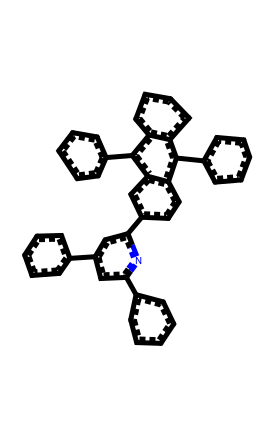 c1ccc(-c2cc(-c3ccccc3)nc(-c3ccc4c(-c5ccccc5)c5ccccc5c(-c5ccccc5)c4c3)c2)cc1